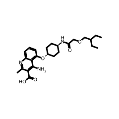 CCC(CC)COCC(=O)N[C@H]1CC[C@H](Oc2cccc3nc(C)c(C(=O)O)c(N)c23)CC1